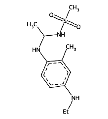 CCNc1ccc(NC(C)NS(C)(=O)=O)c(C)c1